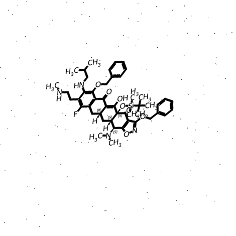 CNCCc1c(F)c2c(c(OCc3ccccc3)c1NCC(C)C)C(=O)C1=C(O)[C@]3(O[Si](C)(C)C(C)(C)C)C(=O)c4c(OCc5ccccc5)noc4[C@@H](N(C)C)[C@@H]3C[C@@H]1C2